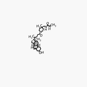 CNC(=O)NCC1(C)CCN(C(=O)CC[C@@H](C)[C@H]2CC[C@H]3[C@@H]4CC=C5C[C@@H](O)CC[C@]5(C)[C@H]4CC[C@]23C)CC1